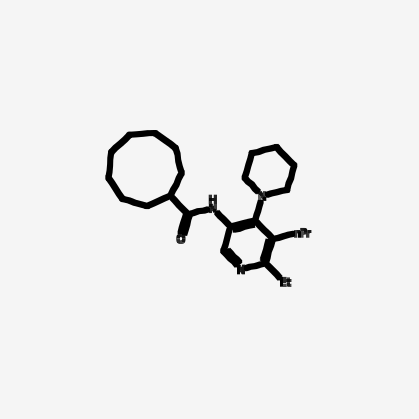 CCCc1c(CC)ncc(NC(=O)C2CCCCCCCC2)c1N1CCCCC1